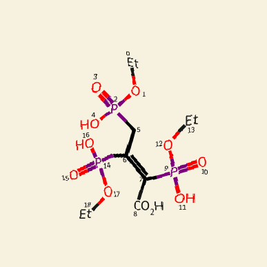 CCOP(=O)(O)C/C(=C(/C(=O)O)P(=O)(O)OCC)P(=O)(O)OCC